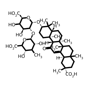 CC1[C@H](O)C(C(=O)O)O[C@@H](O[C@H]2[C@@H](O[C@H]3CC[C@]4(C)[C@H]5C(=O)C=C6[C@@H]7C[C@@](C)(C(=O)O)CCC7(C)CC[C@@]6(C)[C@]5(C)CC[C@H]4C3(C)C)O[C@H](C(=O)O)C(O)[C@@H]2O)[C@@H]1O